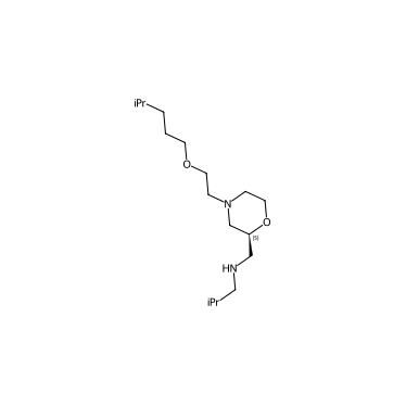 CC(C)CCCOCCN1CCO[C@@H](CNCC(C)C)C1